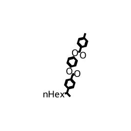 CCCCCCC(C)c1ccc(C(=O)Oc2ccc(OC(=O)c3ccc(C)cc3)cc2)cc1